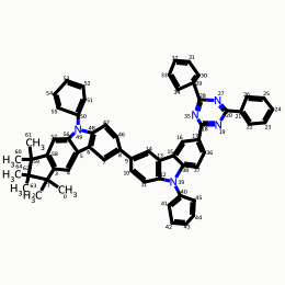 CC1(C)c2cc3c4cc(-c5ccc6c(c5)c5cc(-c7nc(-c8ccccc8)nc(-c8ccccc8)n7)ccc5n6-c5ccccc5)ccc4n(-c4ccccc4)c3cc2C(C)(C)C1(C)C